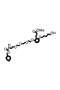 COC(=O)CCc1c(OCCCCCO)cccc1OCCOCCOCCOCCNC(=O)OCc1ccccc1